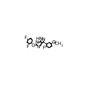 COc1ccc(F)c(-c2n[nH]c3nc(Oc4ccc(F)cc4F)ncc23)c1